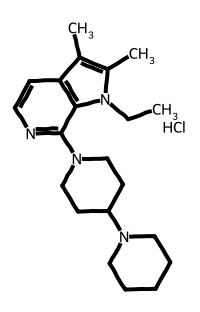 CCn1c(C)c(C)c2ccnc(N3CCC(N4CCCCC4)CC3)c21.Cl